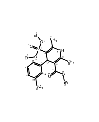 CCOP(=O)(OCC)C1=C(C)NC(C)=C(C(=O)OC(C)C)C1c1cccc([N+](=O)[O-])c1